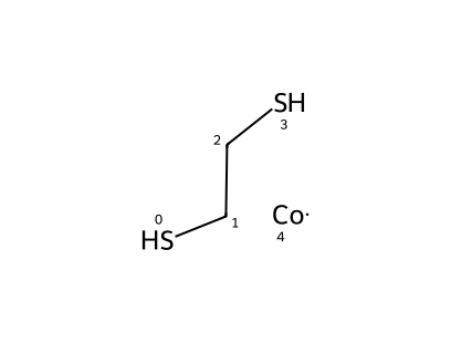 SCCS.[Co]